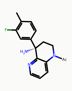 CC(=O)N1CC[C@](N)(c2ccc(C)c(F)c2)c2ncccc21